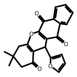 CC1(C)CC(=O)C2=C(C1)OC1=C(C(=O)c3ccccc3C1=O)C2c1ccco1